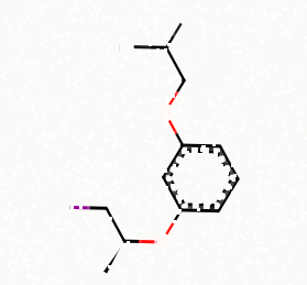 CCC(CC)COc1cccc(O[C@@H](C)CI)c1